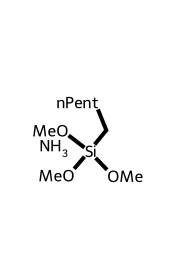 CCCCCC[Si](OC)(OC)OC.N